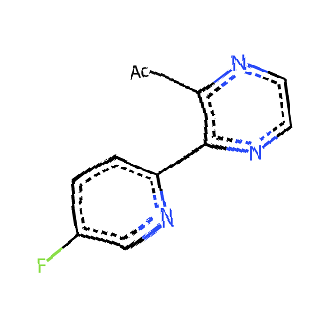 CC(=O)c1nccnc1-c1ccc(F)cn1